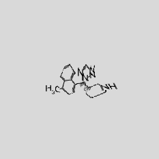 Cc1ccc([C@@H]([C@H]2CCCNC2)n2ncnn2)c2ccccc12